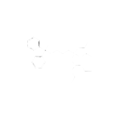 CCO[SiH](OCC)O[Si](CCCSC(C)(c1ccccc1)c1ccccc1)(OCC)OCC